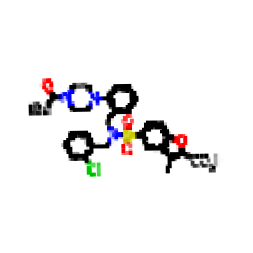 Cc1c(C(=O)O)oc2ccc(S(=O)(=O)N(Cc3ccccc3Cl)Cc3ccccc3N3CCN(C(=O)C(C)(C)C)CC3)cc12